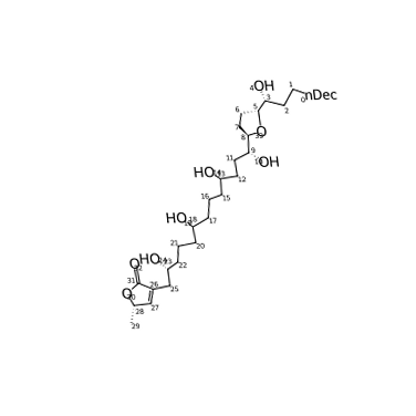 CCCCCCCCCCCC[C@@H](O)[C@H]1CC[C@H]([C@H](O)CCC(O)CCCC(O)CCC[C@@H](O)CC2=C[C@H](C)OC2=O)O1